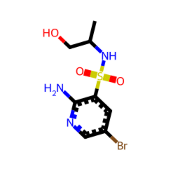 CC(CO)NS(=O)(=O)c1cc(Br)cnc1N